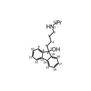 CC(C)NCCCCC1(O)c2ccccc2-c2ccccc21